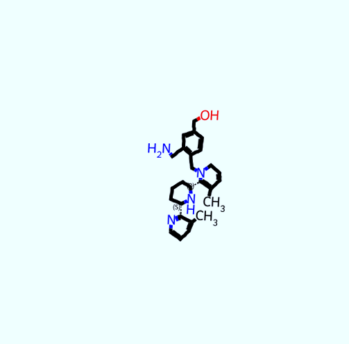 CC1=C([C@H]2CCC[C@@H](c3ncccc3C)N2)N(Cc2ccc(CO)cc2CN)CC=C1